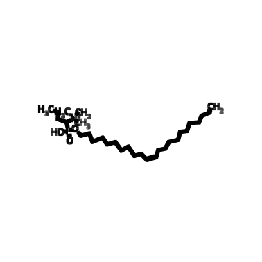 C=CCCCCCCCCC/C=C\CCCCCCCCCCOP(=O)(O)C(CCC)[N+](C)(C)C